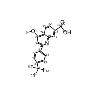 COc1cc(-c2ccc(C(F)(F)F)cc2)nc2cc(C(=O)O)ccc12